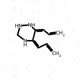 C=C/C=C1/NCNN/C1=C/C=C